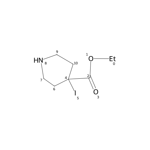 CCOC(=O)C1(I)CCNCC1